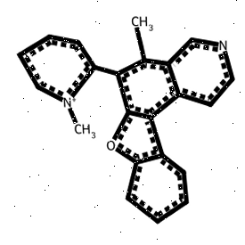 Cc1c(-c2cccc[n+]2C)c2oc3ccccc3c2c2ccncc12